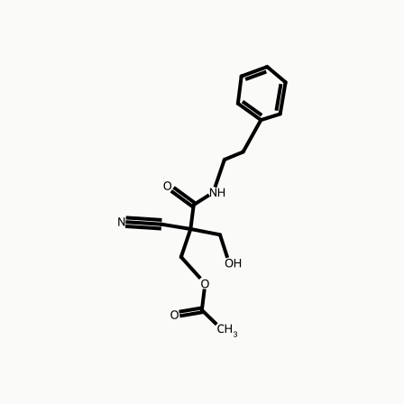 CC(=O)OCC(C#N)(CO)C(=O)NCCc1ccccc1